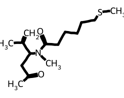 C=C(C)C(CC(C)=O)N(C)C(=O)CCCCCSC